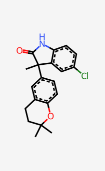 CC1(C)CCc2cc(C3(C)C(=O)Nc4ccc(Cl)cc43)ccc2O1